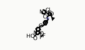 O=C(O)c1cc(OC(F)F)c2cc(OCC34CCC(/C=C/c5c(-c6c(Cl)cncc6Cl)noc5C5CC5)(CC3)OC4)ccc2n1